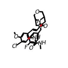 CNC(=O)Nc1cc(Cl)c(OC)cc1/C=C/C(=O)N1C2COCC1CN(Cc1ccc(F)cc1)C2